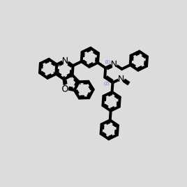 C=N/C(=C\C(=N/Cc1ccccc1)c1cccc(-c2nc3ccccc3c3oc4ccccc4c23)c1)c1ccc(-c2ccccc2)cc1